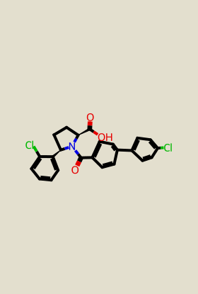 O=C(O)[C@@H]1CC[C@H](c2ccccc2Cl)N1C(=O)c1ccc(-c2ccc(Cl)cc2)cc1